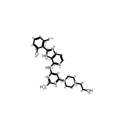 Cc1nc(Nc2nccc3nc(-c4c(F)cccc4Cl)[nH]c23)cc(N2CCN(CCO)CC2)n1